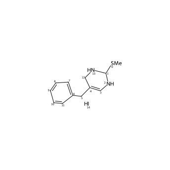 CSC1NC=C(Cc2ccccc2)CN1.I